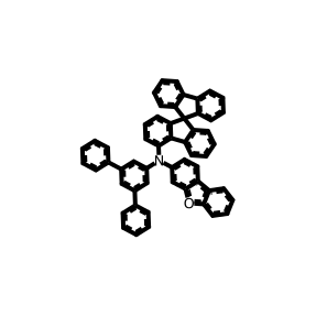 c1ccc(-c2cc(-c3ccccc3)cc(N(c3ccc4c(c3)oc3ccccc34)c3cccc4c3-c3ccccc3C43c4ccccc4-c4ccccc43)c2)cc1